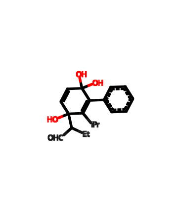 CCC(C=O)C1(O)C=CC(O)(O)C(c2ccccc2)=C1C(C)C